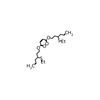 C=CCC(CCOC(=O)/C=C\C(=O)OCCC(CC=C)SCC)SCC